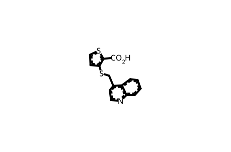 O=C(O)c1sccc1SCc1ccnc2ccccc12